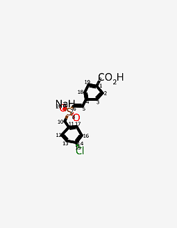 O=C(O)c1ccc(/C=C/S(=O)(=O)Cc2ccc(Cl)cc2)cc1.[NaH]